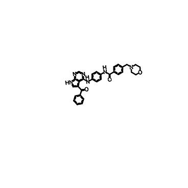 O=C(Nc1ccc(Nc2ncnc3[nH]cc(C(=O)c4ccccc4)c23)cc1)c1ccc(CN2CCOCC2)cc1